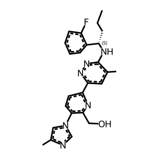 CCC[C@H](Nc1nnc(-c2ccc(-n3cnc(C)c3)c(CO)n2)cc1C)c1ccccc1F